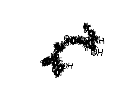 Cc1ncsc1-c1ccc([C@H](C)NC(=O)[C@@H]2C[C@@H](O)CN2C(=O)[C@@H](c2cc(N3CCN(C(=O)OC[C@@H]4CC[C@]5(COc6nc(N7CC8CCC(C7)N8)c7cc(Cl)c(-c8cc(O)cc9ccccc89)c(F)c7n6)CCCN45)CC3)no2)C(C)C)cc1